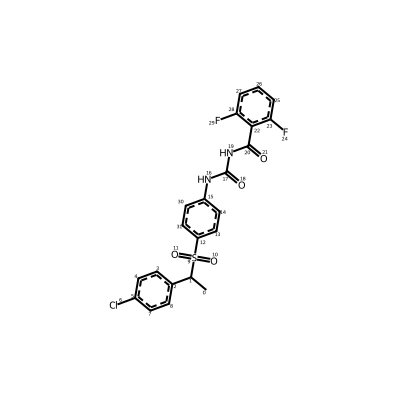 CC(c1ccc(Cl)cc1)S(=O)(=O)c1ccc(NC(=O)NC(=O)c2c(F)cccc2F)cc1